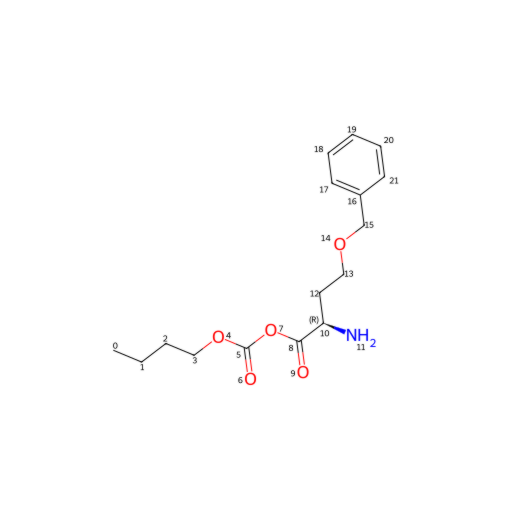 CCCCOC(=O)OC(=O)[C@H](N)CCOCc1ccccc1